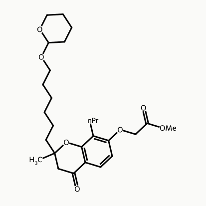 CCCc1c(OCC(=O)OC)ccc2c1OC(C)(CCCCCCOC1CCCCO1)CC2=O